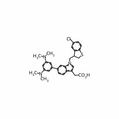 CN(C)c1cc(-c2ccc3c(CC(=O)O)cn(CC4CSc5ccc(Cl)cc54)c3c2)cc(N(C)C)c1